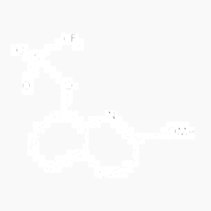 COc1ccc2cccc(OS(=O)(=O)C(F)(F)F)c2n1